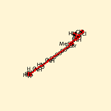 COc1cc(/C=C/C(=O)NC(Cc2ccc(OCc3c(Cl)cccc3Cl)cc2)C(=O)NC2CC(C)(C)NC(C)(C)C2)cc(Br)c1OCCOCCOCCOCCOCCOCCOCCOCCNC(=O)CCCCCNC(=O)CCCCCNC(=O)CCCC[C@@H]1SC[C@@H]2NC(=O)N[C@@H]21